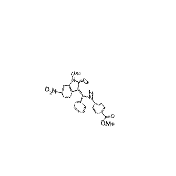 COC(=O)c1ccc(N/C(=C2\C(=O)N(OC(C)=O)c3cc([N+](=O)[O-])ccc32)c2ccccc2)cc1